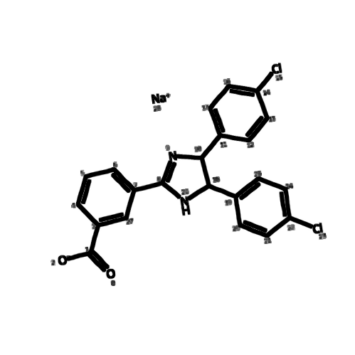 O=C([O-])c1cccc(C2=NC(c3ccc(Cl)cc3)C(c3ccc(Cl)cc3)N2)c1.[Na+]